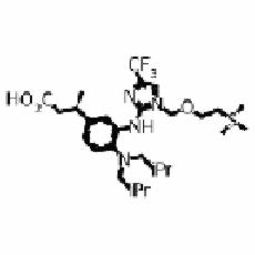 CC(C)CN(CC(C)C)c1ccc([C@H](C)CC(=O)O)cc1Nc1nc(C(F)(F)F)cn1COCCS(C)(C)C